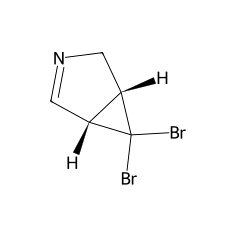 BrC1(Br)[C@@H]2C=NC[C@@H]21